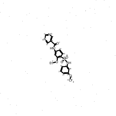 CCOc1cc(NC(=O)c2cncnc2)ccc1S(=O)(=O)Nc1cccc(OC(F)(F)F)c1